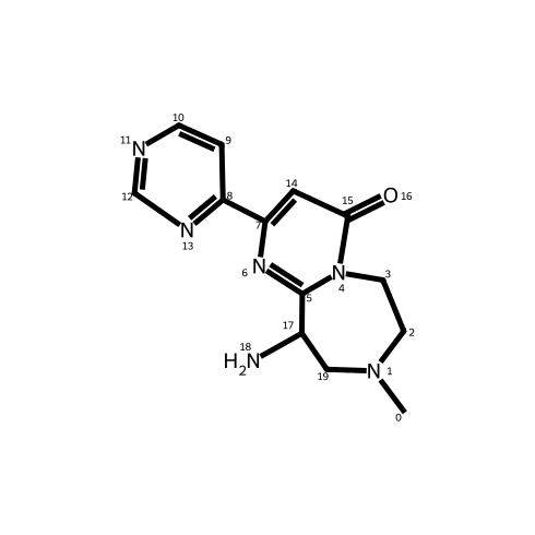 CN1CCn2c(nc(-c3ccncn3)cc2=O)C(N)C1